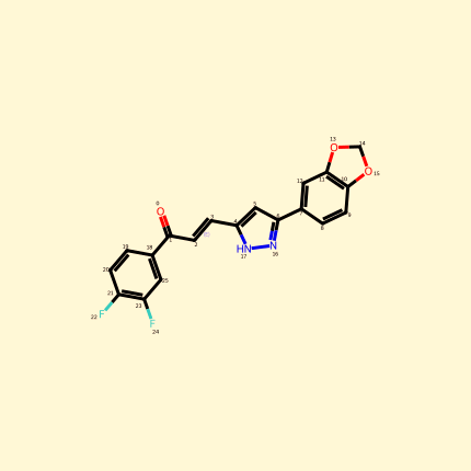 O=C(/C=C/c1cc(-c2ccc3c(c2)OCO3)n[nH]1)c1ccc(F)c(F)c1